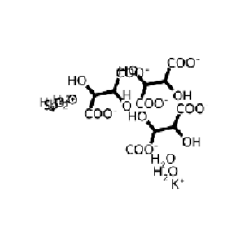 O.O.O.O=C([O-])C(O)C(O)C(=O)[O-].O=C([O-])C(O)C(O)C(=O)[O-].O=C([O-])C(O)C(O)C(=O)[O-].[K+].[OH4+2].[Sb+3]